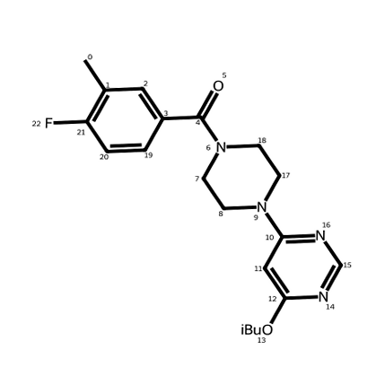 Cc1cc(C(=O)N2CCN(c3cc(OCC(C)C)ncn3)CC2)ccc1F